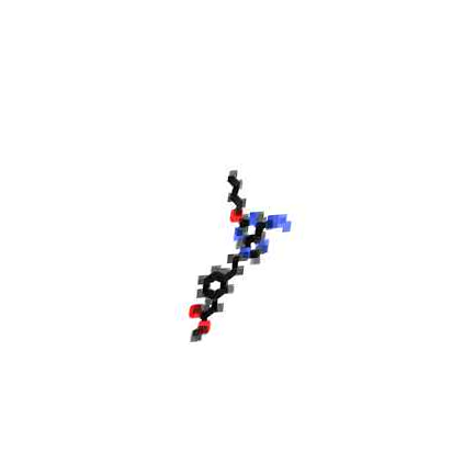 CCCCOc1nc(N)c2ncn(CCc3cccc(CC(=O)OC)c3)c2n1